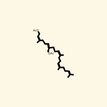 CC(=O)OCC=C(C)CCC=C(CCC=C(C)CCC=C(C)CCC=C(C)C)COC(C)=O